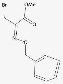 COC(=O)C(CBr)=NOCc1ccccc1